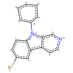 Brc1ccc2c(c1)c1ccncc1n2-c1ccccc1